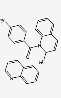 N#CC1C=Cc2ccccc2N1C(=O)c1ccc(Br)cc1.c1ccc2ncccc2c1